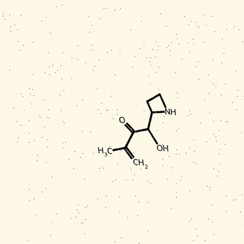 C=C(C)C(=O)C(O)C1CCN1